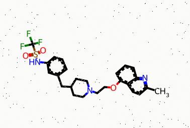 Cc1ccc2c(OCCN3CCC(Cc4cccc(NS(=O)(=O)C(F)(F)F)c4)CC3)cccc2n1